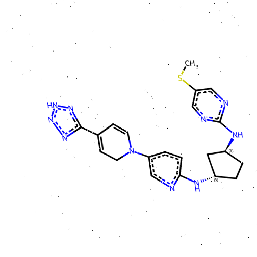 CSc1cnc(N[C@H]2CC[C@H](Nc3ccc(N4C=CC(c5nn[nH]n5)=CC4)cn3)C2)nc1